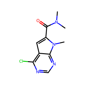 CN(C)C(=O)c1cc2c(Cl)ncnc2n1C